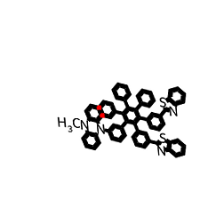 CN1c2ccccc2N(c2cccc(-c3c(-c4ccccc4)c(-c4ccccc4)c(-c4ccccc4)c(-c4cccc(-c5nc6ccccc6s5)c4)c3-c3cccc(-c4nc5ccccc5s4)c3)c2)c2ccccc21